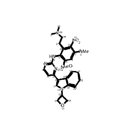 CNc1cc(OC)c(Nc2nccc(-c3cn(C4COC4)c4ccccc34)n2)c(CCN(C)C)c1[N+](=O)[O-]